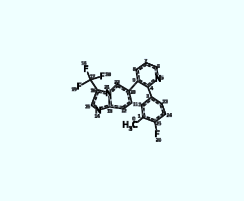 Cc1cc(-c2ncccc2-c2ccc3ncc(C(F)(F)F)n3c2)ccc1F